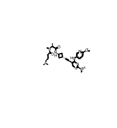 CNc1ncc(C#C[C@H]2C[C@@H](NC(=O)[C@H](C)N(C)C(=O)/C=C/CN(C)C)C2)c(Nc2ccc(OC)nc2)n1